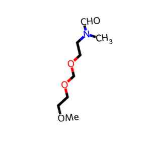 COCCOCOCCN(C)C=O